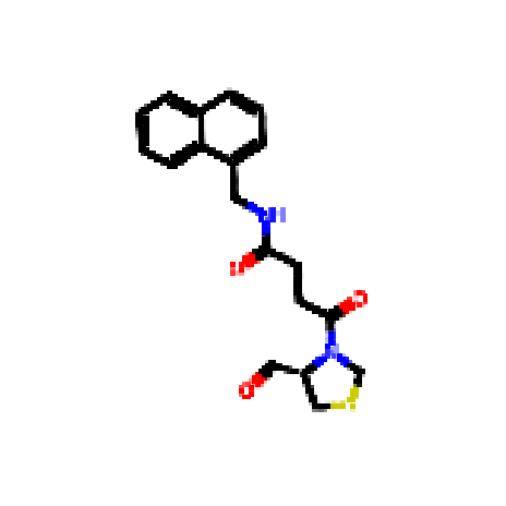 O=C[C@@H]1CSCN1C(=O)CCC(=O)NCc1cccc2ccccc12